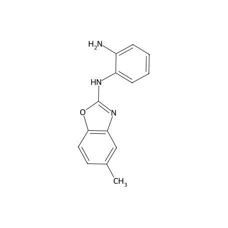 Cc1ccc2oc(Nc3ccccc3N)nc2c1